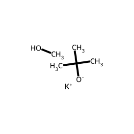 CC(C)(C)[O-].CO.[K+]